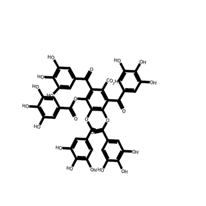 O=C(Oc1c(OC(=O)c2cc(O)c(O)c(O)c2)c(C(=O)c2cc(O)c(O)c(O)c2)c(C(=O)O)c(C(=O)c2cc(O)c(O)c(O)c2)c1OC(=O)c1cc(O)c(O)c(O)c1)c1cc(O)c(O)c(O)c1